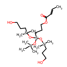 CC=CC(=O)OCCC[Si](O[Si](C)(C)C)(O[Si](C)(C)CCCO)O[Si](C)(C)CCCO